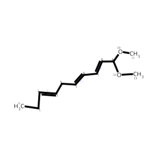 CC/C=C/C/C=C/C=C/C(OC)OC